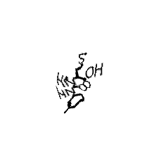 CSCCC(NC(=O)Nc1cccc(C)c1)C(=O)O